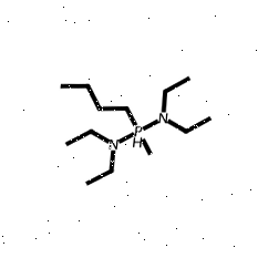 CCCC[PH](C)(N(CC)CC)N(CC)CC